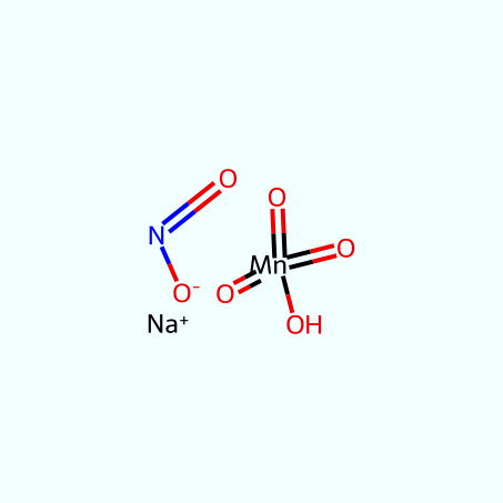 O=N[O-].[Na+].[O]=[Mn](=[O])(=[O])[OH]